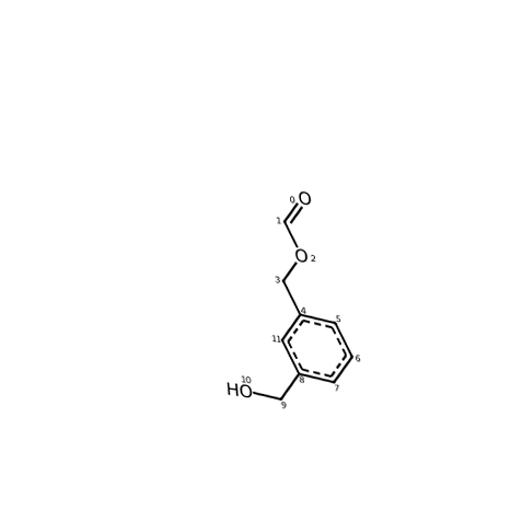 O=COCc1cccc(CO)c1